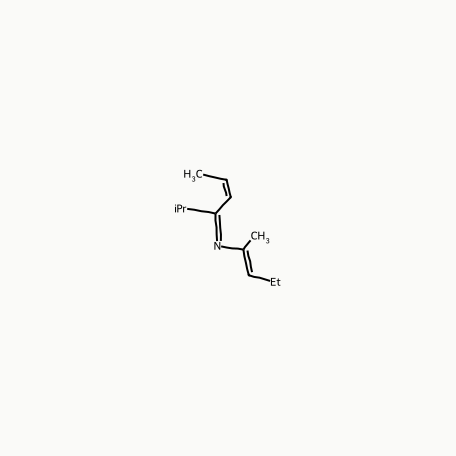 C\C=C/C(=N\C(C)=C\CC)C(C)C